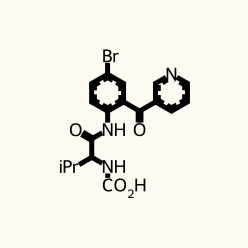 CC(C)C(NC(=O)O)C(=O)Nc1ccc(Br)cc1C(=O)c1cccnc1